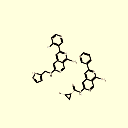 CCc1ccncc1-c1cc2cc(NCc3ccn[nH]3)ncc2c(N)n1.Nc1nc(-c2cccnc2)cc2cc(NC(=O)[C@@H]3C[C@@H]3F)ncc12